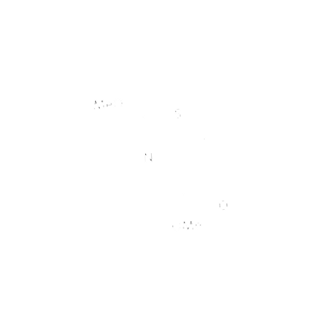 COC(=O)c1csc(OC)n1